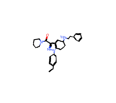 C=Cc1ccc(-n2nc(C(=O)N3CCCCC3)c3c2CCC(NCCc2ccccc2)C3)cc1